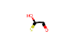 O=[C]C(O)=S